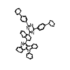 c1ccc(-c2ccc(-c3nc(-c4ccc(-c5ccccc5)cc4)nc(-c4ccc(-c5nc6ccccc6c6c5c5ccccc5n6-c5ccccc5)c5ccccc45)n3)cc2)cc1